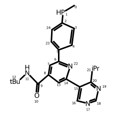 CPc1ccc(-c2cc(C(=O)NC(C)(C)C)cc(-c3cncnc3C(C)C)n2)cc1